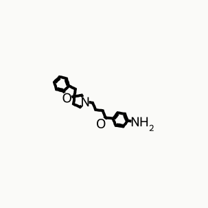 Nc1ccc(C(=O)CCCN2CCC3(Cc4ccccc4O3)C2)cc1